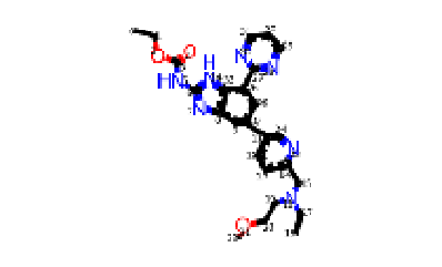 CCOC(=O)Nc1nc2cc(-c3ccc(CN(CC)CCOC)nc3)cc(-c3ncccn3)c2[nH]1